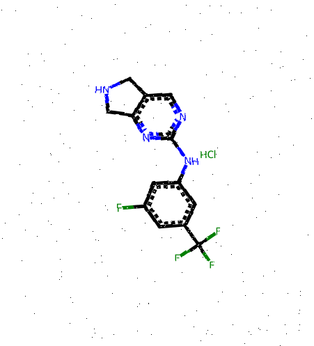 Cl.Fc1cc(Nc2ncc3c(n2)CNC3)cc(C(F)(F)F)c1